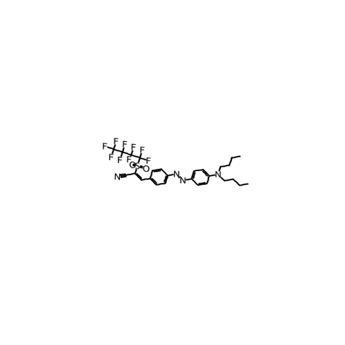 CCCCN(CCCC)c1ccc(N=Nc2ccc(C=C(C#N)S(=O)(=O)C(F)(F)C(F)(F)C(F)(F)C(F)(F)F)cc2)cc1